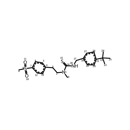 CN(CCc1ccc(S(C)(=O)=O)cc1)C(=S)NCc1ccc(C(C)(C)C)cc1